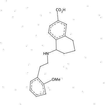 COc1ccccc1CCNC1CCCc2cc(C(=O)O)ccc21